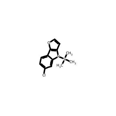 C[Si](C)(C)n1c2cc(Cl)ccc2c2occc21